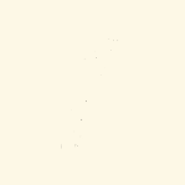 CN(C)C(=O)c1cccc(OC[C@@H]2CCc3cc([C@H]4CC[C@](N)(CO)C4)ccc3C2)c1